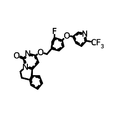 O=c1nc(OCc2ccc(Oc3ccc(C(F)(F)F)nc3)c(F)c2)cc2n1CCc1ccccc1-2